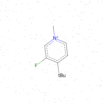 C[n+]1ccc(C(C)(C)C)c(F)c1